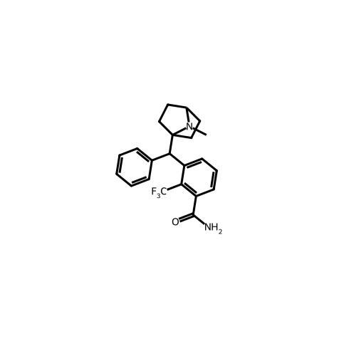 CN1C2CCC1(C(c1ccccc1)c1cccc(C(N)=O)c1C(F)(F)F)CC2